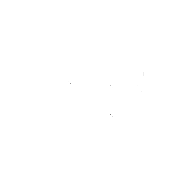 Cc1onc2c1c(=O)n(C1CCCC(CNC(=O)c3ccccc3)C1)c1ccncc21